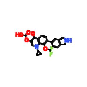 O=C(O)Oc1cn(C2CC2)c2c(OC(F)F)c(-c3ccc4c(c3)CNC4)ccc2c1=O